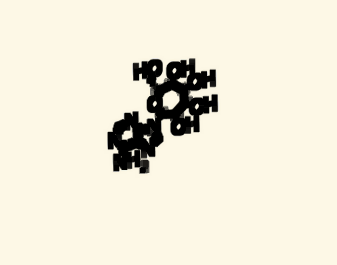 Nc1ncnc2c1ncn2[C@@H]1O[C@H](CO)[C@@H](O)[C@H](O)[C@@H](O)[C@H]1O